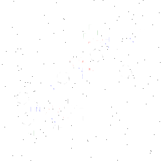 CN(C[S+]([O-])N[C@@H](c1ccccc1-c1ccc(Cl)cc1)C1CCN(c2ccc(C(=O)NS(=O)(=O)c3ccc(N[C@H](CCN4CCOCC4)CSc4ccccc4)c(S(=O)(=O)C(F)(F)F)c3)cc2)CC1)C(=O)OC(C)(C)C